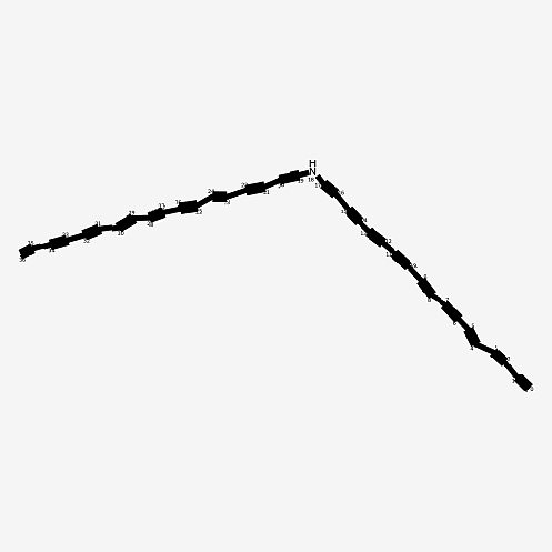 C#CC#CC#CC#CC#CC#CC#CC#CC#CNC#CC#CC#CC#CC#CC#CC#CC#CC#C